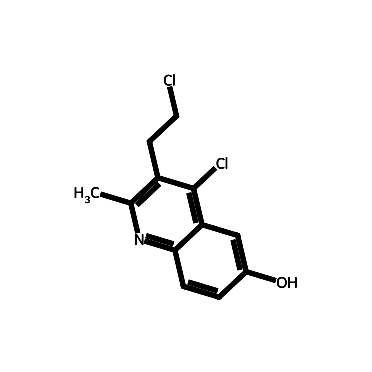 Cc1nc2ccc(O)cc2c(Cl)c1CCCl